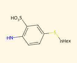 CCCCCCSc1ccc([NH])c(S(=O)(=O)O)c1